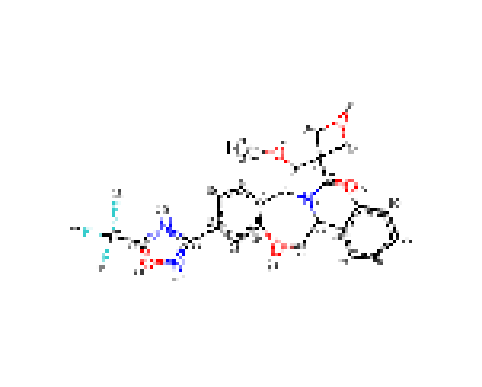 COCC1(C(=O)N2Cc3ccc(-c4noc(C(F)(F)F)n4)cc3OCC2c2ccccc2)COC1